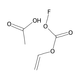 C=COC(=O)OF.CC(=O)O